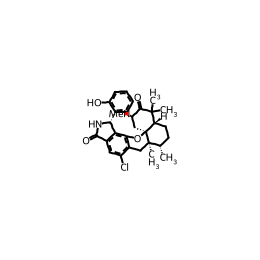 CN[C@@H]1C[C@@]23Oc4c(c(Cl)cc5c4[C@@H](c4ccccc4O)NC5=O)C[C@]2(C)[C@@H](C)CC[C@H]3C(C)(C)C1=O